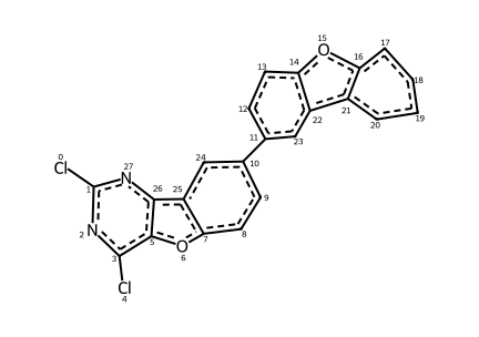 Clc1nc(Cl)c2oc3ccc(-c4ccc5oc6ccccc6c5c4)cc3c2n1